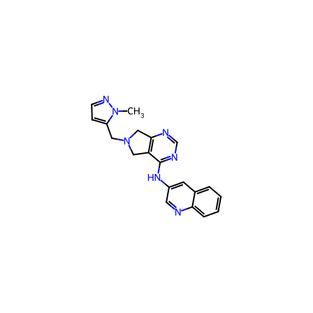 Cn1nccc1CN1Cc2ncnc(Nc3cnc4ccccc4c3)c2C1